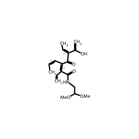 C=C/C(C(=O)NCC(OC)OC)=C(\C=C/C)C(=O)/C(=C/C)C(=C)O